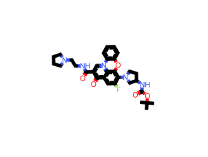 CC(C)(C)OC(=O)NC1CCN(c2c(F)cc3c(=O)c(C(=O)NCCN4CCCC4)cn4c3c2Oc2ccccc2-4)C1